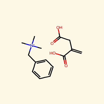 C=C(CC(=O)O)C(=O)O.C[N+](C)(C)Cc1ccccc1